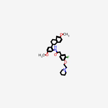 COc1ccc2c(c1)CCC(c1ccc(OC)cc1NC(=O)Cc1ccc(OCCN3CCCCC3)c(F)c1)C2